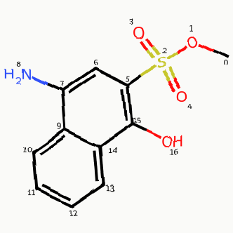 COS(=O)(=O)c1cc(N)c2ccccc2c1O